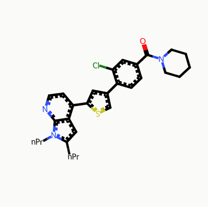 CCCc1cc2c(-c3cc(-c4ccc(C(=O)N5CCCCC5)cc4Cl)cs3)ccnc2n1CCC